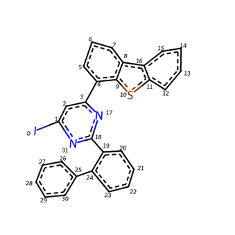 Ic1cc(-c2cccc3c2sc2ccccc23)nc(-c2ccccc2-c2ccccc2)n1